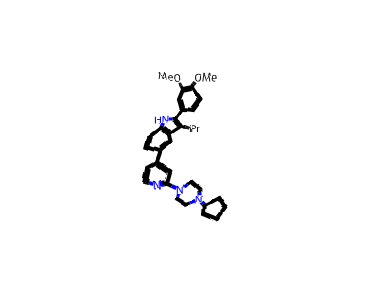 COc1ccc(-c2[nH]c3ccc(-c4ccnc(N5CCN(C6CCCC6)CC5)c4)cc3c2C(C)C)cc1OC